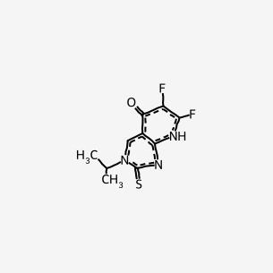 CC(C)n1cc2c(=O)c(F)c(F)[nH]c2nc1=S